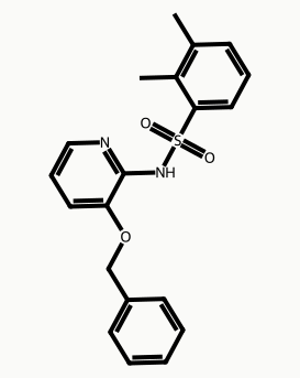 Cc1cccc(S(=O)(=O)Nc2ncccc2OCc2ccccc2)c1C